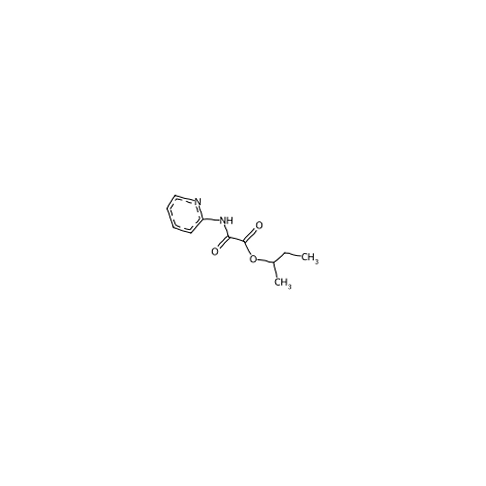 CCC(C)OC(=O)C(=O)Nc1ccccn1